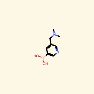 CN(C)Cc1cncc(B(O)O)c1